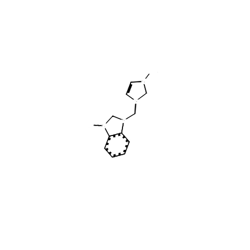 CN1C=CN(CN2CN(C)c3ccccc32)C1